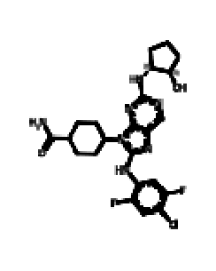 NC(=O)C1CCC(n2c(Nc3cc(F)c(Cl)cc3F)nc3cnc(N[C@@H]4CCC[C@H]4O)nc32)CC1